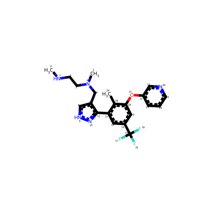 CNCCN(C)Cc1c[nH]nc1-c1cc(C(F)(F)F)cc(Oc2cccnc2)c1C